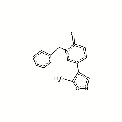 Cc1oncc1-c1ccc(=O)n(Cc2ccccc2)c1